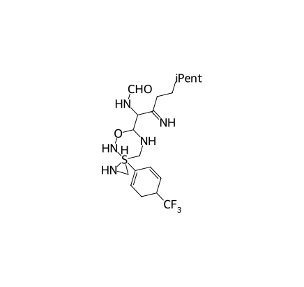 CCCC(C)CCC(=N)C(NC=O)C1NC[SH]2(C3=CCC(C(F)(F)F)C=C3)(CN2)NO1